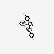 CC1(N2C(=O)C3C(c4nc(-c5ccc(F)cc5)no4)N=CN3c3ccc(Cl)cc32)CCCO1